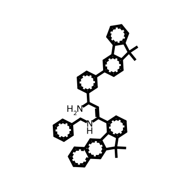 CC1(C)c2ccccc2-c2cc(-c3cccc(C(N)/C=C(\NCc4ccccc4)c4cccc5c4-c4cc6ccccc6cc4C5(C)C)c3)ccc21